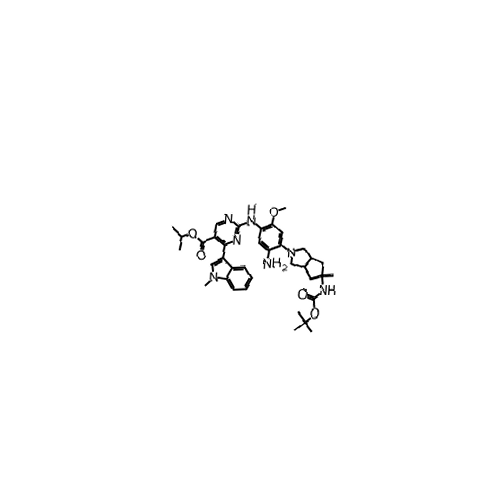 COc1cc(N2CC3CC(C)(NC(=O)OC(C)(C)C)CC3C2)c(N)cc1Nc1ncc(C(=O)OC(C)C)c(-c2cn(C)c3ccccc23)n1